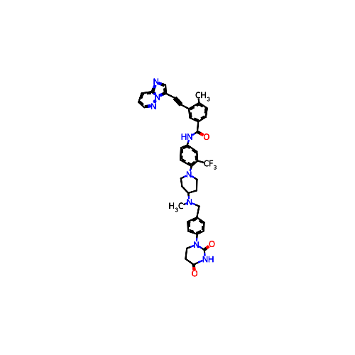 Cc1ccc(C(=O)Nc2ccc(N3CCC(N(C)Cc4ccc(N5CCC(=O)NC5=O)cc4)CC3)c(C(F)(F)F)c2)cc1C#Cc1cnc2cccnn12